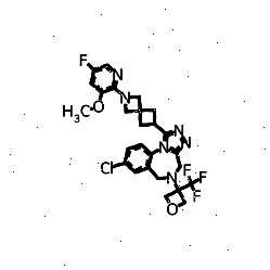 COc1cc(F)cnc1N1CC2(CC(c3nnc4n3-c3ccc(Cl)cc3CN(C3(C(F)(F)F)COC3)C4)C2)C1